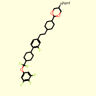 CCCCCC1COC(C2CCC(CCc3ccc(C4CCC(C(F)(F)Oc5cc(F)c(F)c(F)c5)CC4)c(F)c3)CC2)OC1